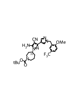 COc1ccc(C(F)(F)F)cc1Cn1cc(-c2nn([C@H]3CCCN(C(=O)OC(C)(C)C)CC3)c(N)c2C#N)cn1